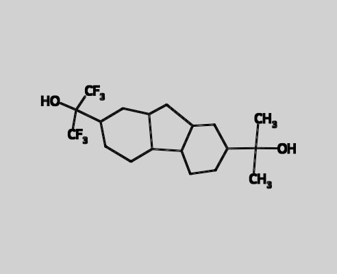 CC(C)(O)C1CCC2C(CC3CC(C(O)(C(F)(F)F)C(F)(F)F)CCC32)C1